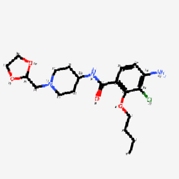 CCCCOc1c(C(=O)NC2CCN(CC3OCCO3)CC2)ccc(N)c1Cl